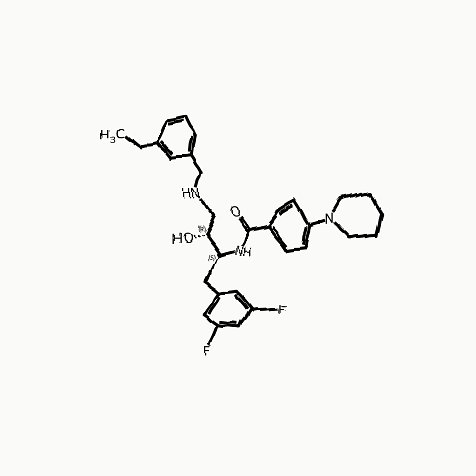 CCc1cccc(CNC[C@@H](O)[C@H](Cc2cc(F)cc(F)c2)NC(=O)c2ccc(N3CCCCC3)cc2)c1